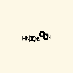 c1cc(SN2CC3CNCC3C2)c2ccncc2c1